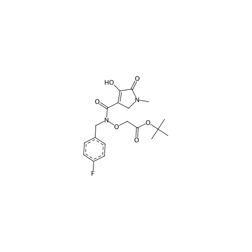 CN1CC(C(=O)N(Cc2ccc(F)cc2)OCC(=O)OC(C)(C)C)=C(O)C1=O